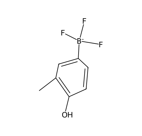 Cc1cc([B-](F)(F)F)ccc1O